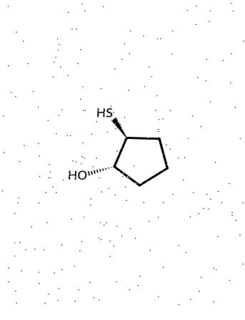 O[C@H]1CCC[C@@H]1S